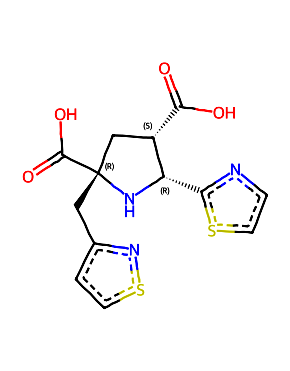 O=C(O)[C@H]1C[C@@](Cc2ccsn2)(C(=O)O)N[C@H]1c1nccs1